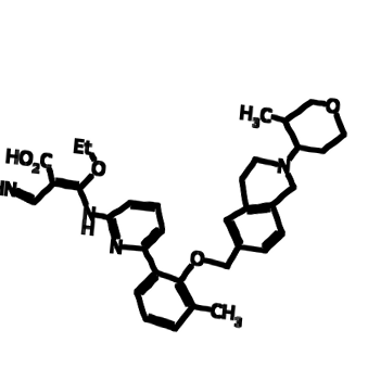 CCO/C(Nc1cccc(-c2cccc(C)c2OCc2ccc3c(c2)CCN(C2CCOCC2C)C3)n1)=C(/C=N)C(=O)O